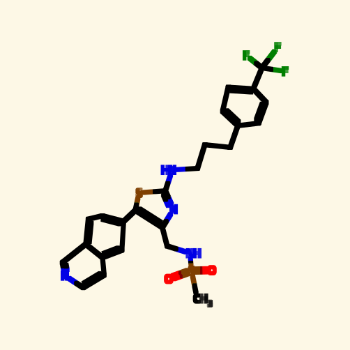 CS(=O)(=O)NCc1nc(NCCCc2ccc(C(F)(F)F)cc2)sc1-c1ccc2cnccc2c1